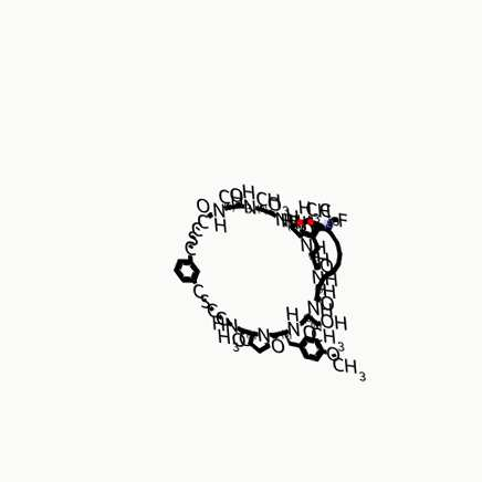 COc1ccc(C[C@@H]2NC(=O)[C@H]([C@@H](C)O)NC(=O)[C@@H]3CCCCCCCCC[C@H](NC(=O)[C@@H](C)NC(=O)[C@H](C)NC(=O)CCSCc4cccc(c4)CSCCNC(=O)[C@]4(C)CCCN4C2=O)C(=O)N[C@@H](Cc2c[nH]c(C)c2/C=C(\C)F)C(=O)N3)cc1